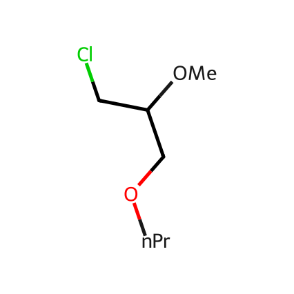 CCCOCC(CCl)OC